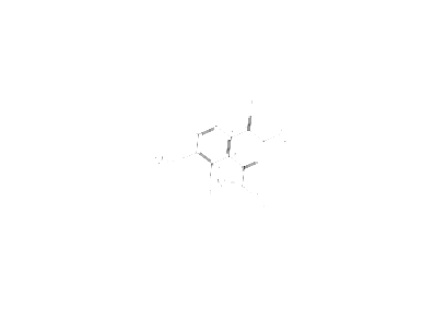 COc1ccc(C(=O)CC(C)=O)c(C(=O)CC(C)=O)c1OC